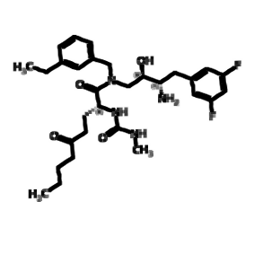 CCCCC(=O)CC[C@@H](NC(=O)NC)C(=O)N(Cc1cccc(CC)c1)C[C@@H](O)[C@@H](N)Cc1cc(F)cc(F)c1